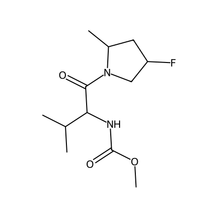 COC(=O)NC(C(=O)N1CC(F)CC1C)C(C)C